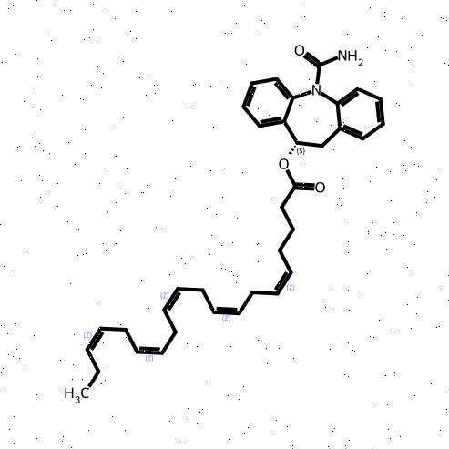 CC/C=C\C/C=C\C/C=C\C/C=C\C/C=C\CCCC(=O)O[C@H]1Cc2ccccc2N(C(N)=O)c2ccccc21